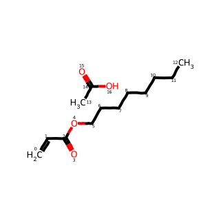 C=CC(=O)OCCCCCCCC.CC(=O)O